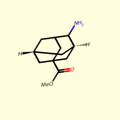 COC(=O)C12CC3C[C@H](C[C@H](C1)C3N)C2